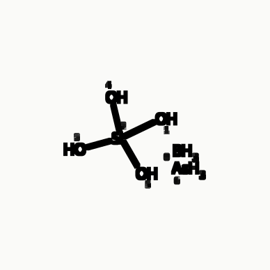 B.O[Si](O)(O)O.[AsH3]